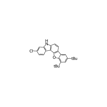 CC(C)(C)c1cc(C(C)(C)C)c2oc3c(ccc4[nH]c5cc(Cl)ccc5c43)c2c1